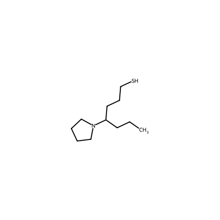 CCCC(CCCS)N1CCCC1